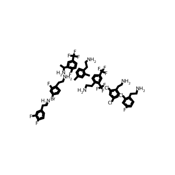 CC(N)c1cc(C(F)(F)F)ccc1F.Cc1ccc(CCN)c(C)c1.NCCc1ccc(Br)cc1F.NCCc1ccc(C(F)(F)F)cc1C(F)(F)F.NCCc1ccc(Cl)cc1Cl.NCCc1ccc(F)c(F)c1.NCCc1ccc(F)cc1Cl